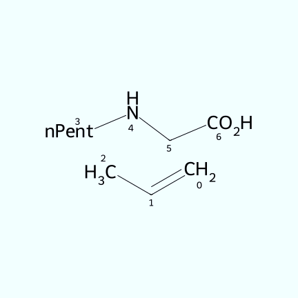 C=CC.CCCCCNCC(=O)O